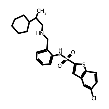 CC(CNCc1ccccc1NS(=O)(=O)c1cc2cc(Cl)ccc2s1)C1CCCCC1